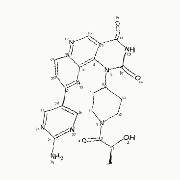 C[C@H](O)C(=O)N1CCC(n2c(=O)[nH]c(=O)c3cnc4ccc(-c5cnc(N)nc5)nc4c32)CC1